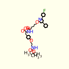 CC(C)(C)OC(=O)NCCCOc1ccc(C[C@H](NC(=O)CCCCCOc2cc(-c3ccccc3)cc(-c3ccc(F)cc3)n2)C(=O)O)cc1